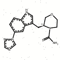 NC(=S)N1CCOC[C@@H]1Cc1c[nH]c2ccc(-n3cncn3)cc12